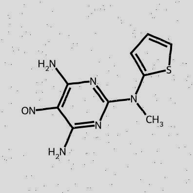 CN(c1nc(N)c(N=O)c(N)n1)c1cccs1